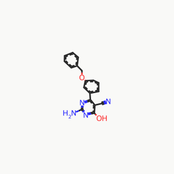 N#Cc1c(O)nc(N)nc1-c1cccc(OCc2ccccc2)c1